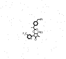 CCOC1C(OC(=O)[C@@H](C)c2ccc(CC(C)C)cc2)N(c2cc(C(F)(F)F)ccn2)C(=O)N1C